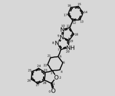 O=C1OC2(CCC(c3nn4nc(-c5ccccc5)cc4[nH]3)CC2)c2ccccc21